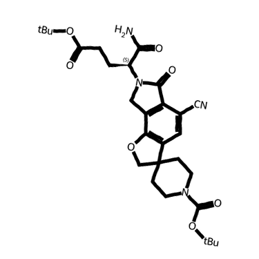 CC(C)(C)OC(=O)CC[C@@H](C(N)=O)N1Cc2c3c(cc(C#N)c2C1=O)C1(CCN(C(=O)OC(C)(C)C)CC1)CO3